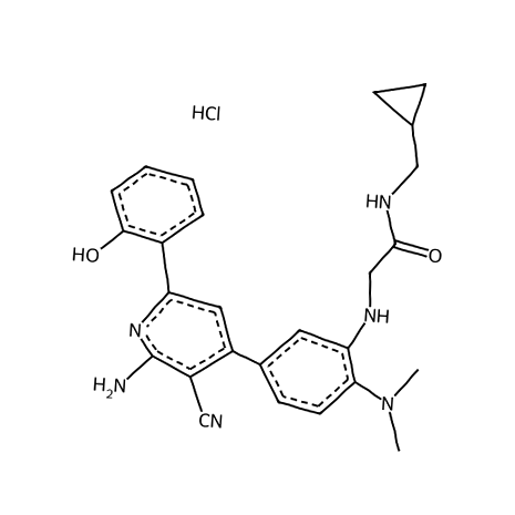 CN(C)c1ccc(-c2cc(-c3ccccc3O)nc(N)c2C#N)cc1NCC(=O)NCC1CC1.Cl